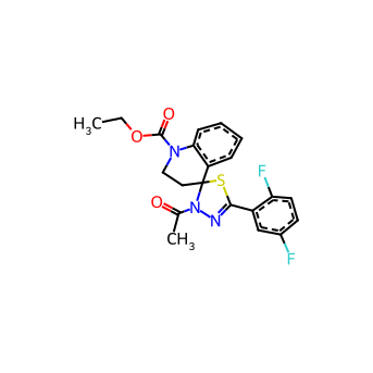 CCOC(=O)N1CCC2(SC(c3cc(F)ccc3F)=NN2C(C)=O)c2ccccc21